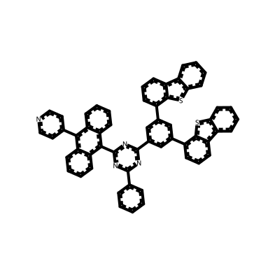 c1ccc(-c2nc(-c3cc(-c4cccc5c4sc4ccccc45)cc(-c4cccc5c4sc4ccccc45)c3)nc(-c3c4ccccc4c(-c4ccncc4)c4ccccc34)n2)cc1